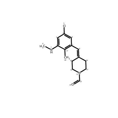 CNc1cc(Cl)cc(C=C2CCN(C=O)CC2)c1C